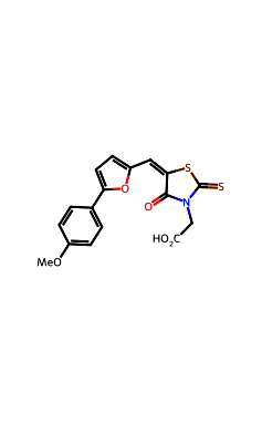 COc1ccc(-c2ccc(C=C3SC(=S)N(CC(=O)O)C3=O)o2)cc1